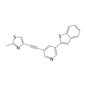 Cc1nc(C#Cc2cncc(-c3cc4ccccc4s3)c2)cs1